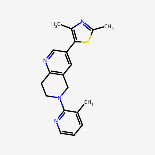 Cc1nc(C)c(-c2cnc3c(c2)CN(c2ncccc2C)CC3)s1